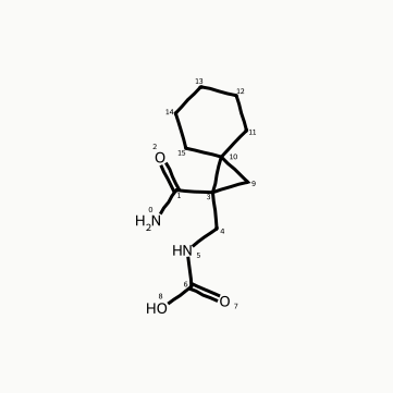 NC(=O)C1(CNC(=O)O)CC12CCCCC2